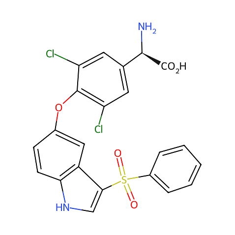 N[C@@H](C(=O)O)c1cc(Cl)c(Oc2ccc3[nH]cc(S(=O)(=O)c4ccccc4)c3c2)c(Cl)c1